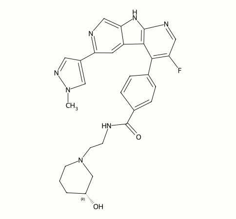 Cn1cc(-c2cc3c(cn2)[nH]c2ncc(F)c(-c4ccc(C(=O)NCCN5CCC[C@@H](O)C5)cc4)c23)cn1